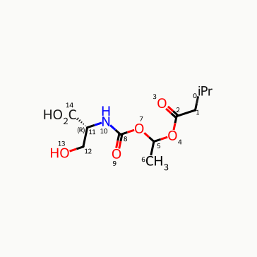 CC(C)CC(=O)OC(C)OC(=O)N[C@H](CO)C(=O)O